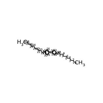 CCCCCCCCCCC[n+]1ccc(-c2cc[n+](CCCCCCCCCCC)cc2)cc1